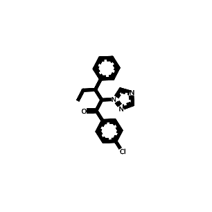 CCC(c1ccccc1)C(C(=O)c1ccc(Cl)cc1)n1cncn1